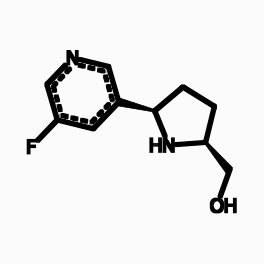 OC[C@@H]1CC[C@H](c2cncc(F)c2)N1